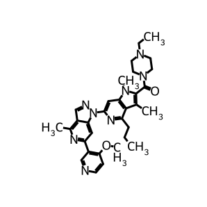 CCCc1nc(-n2ncc3c(C)nc(-c4cnccc4OC)cc32)cc2c1c(C)c(C(=O)N1CCN(CC)CC1)n2C